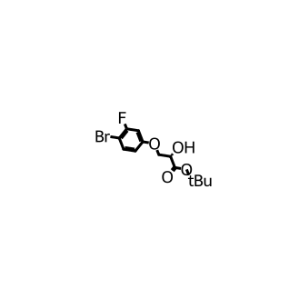 CC(C)(C)OC(=O)[C@H](O)COc1ccc(Br)c(F)c1